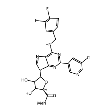 CNC(=O)[C@@H]1OC(n2cnc3c(NCc4ccc(F)c(F)c4)nc(-c4cncc(Cl)c4)nc32)C(O)C1O